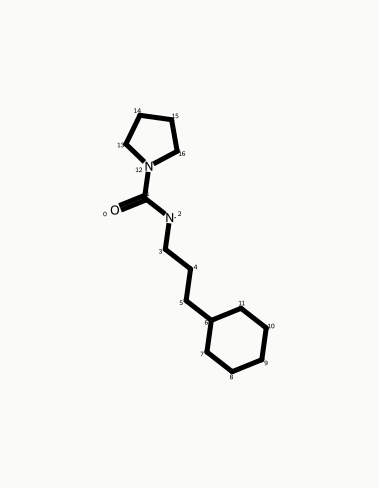 O=C([N]CCCC1CCCCC1)N1CCCC1